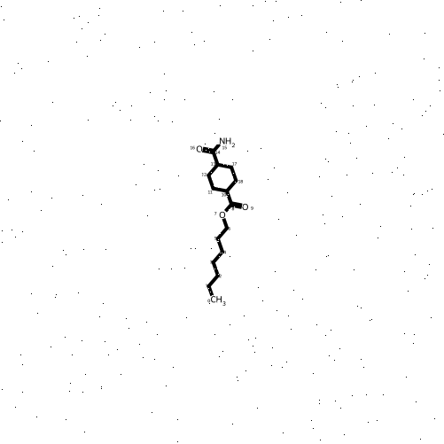 CCCCCCCOC(=O)C1CCC(C(N)=O)CC1